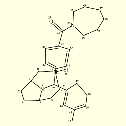 CCN1CCC2CCC(C1)N2C(C1=CC(C)=CCC1)c1ccc(C(=O)N2CCCCCC2)cc1